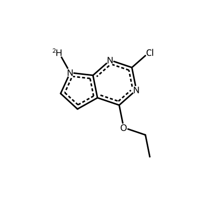 [2H]n1ccc2c(OCC)nc(Cl)nc21